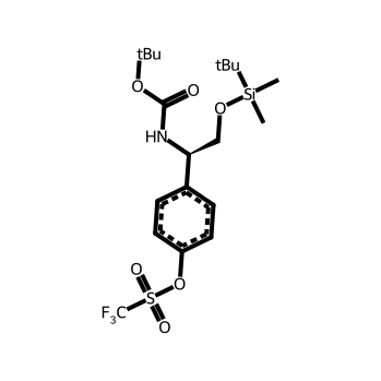 CC(C)(C)OC(=O)N[C@@H](CO[Si](C)(C)C(C)(C)C)c1ccc(OS(=O)(=O)C(F)(F)F)cc1